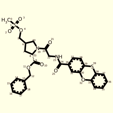 CS(=O)(=O)OCC1C[C@@H](C(=O)OCc2ccccc2)N(C(=O)CNC(=O)c2ccc3c(c2)Oc2ccccc2S3)C1